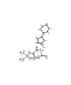 CC(C)(C)OC(=O)N[C@H](Cn1cc(-c2ccccc2)nn1)C(=O)O